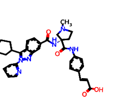 CN1CC[C@@](NC(=O)c2ccc3c(C4CCCCC4)n(-c4ccccn4)nc3c2)(C(=O)Nc2ccc(/C=C/C(=O)O)cc2)C1